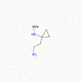 CNNC1(CCN)CC1